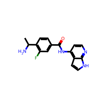 CC(N)c1ccc(C(=O)Nc2ccnc3[nH]ccc23)cc1F